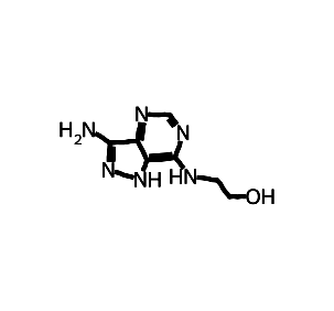 Nc1n[nH]c2c(NCCO)ncnc12